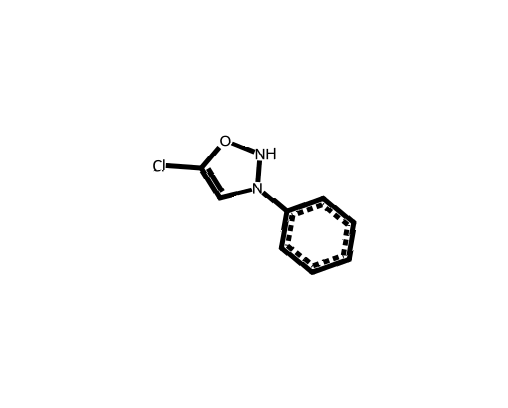 ClC1=CN(c2ccccc2)NO1